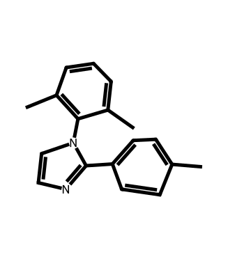 Cc1ccc(-c2nccn2-c2c(C)cccc2C)cc1